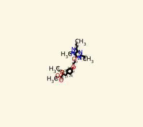 CCCc1nn(C)c2c(OCCOc3ccc(CC(OCC)C(=O)OC)cc3)nc(CC)nc12